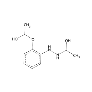 CC(O)NNc1ccccc1OC(C)O